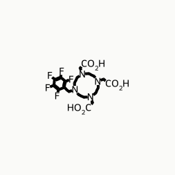 O=C(O)CN1CCN(CC(=O)O)CCN(Cc2c(F)c(F)c(F)c(F)c2F)CCN(CC(=O)O)CC1